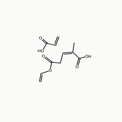 C=CC(=O)O.C=COC(=O)CC=C(C)C(=O)O